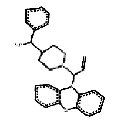 C=CC(N1CCC(C(O)c2ccccc2)CC1)N1c2ccccc2Sc2ccccc21